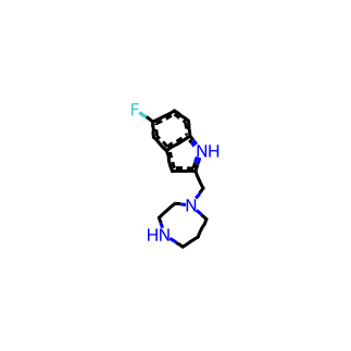 Fc1ccc2[nH]c(CN3CCCNCC3)cc2c1